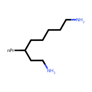 CCCC(CCN)CCCCCN